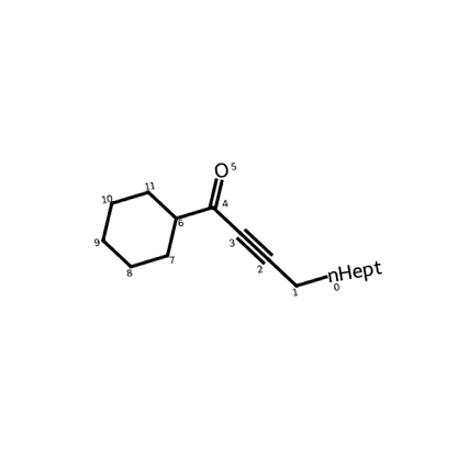 CCCCCCCCC#CC(=O)C1CCCCC1